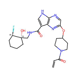 C=CC(=O)N1CCC(Oc2cnc3[nH]cc(C(=O)NC[C@@]4(O)CCCC[C@H]4F)c3n2)CC1